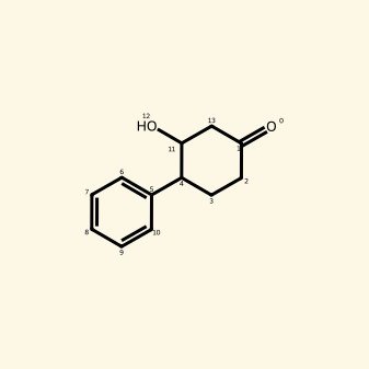 O=C1CCC(c2ccccc2)C(O)C1